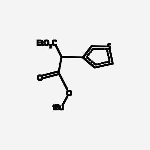 CCOC(=O)C(C(=O)OC(C)(C)C)c1ccsc1